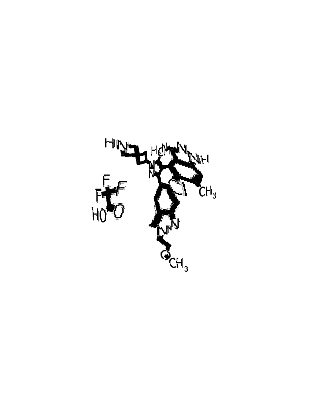 COCCn1cc2cc(-c3nn(C4CC5(CNC5)C4)c(C)c3-c3c(Cl)c(C)cc4[nH]nc(N)c34)ccc2n1.O=C(O)C(F)(F)F